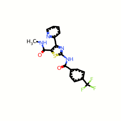 CNC(=O)c1sc(NC(=O)c2ccc(C(F)(F)F)cc2)nc1-c1ccccn1